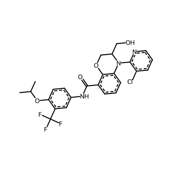 CC(C)Oc1ccc(NC(=O)c2cccc3c2OCC(CO)N3c2ncccc2Cl)cc1C(F)(F)F